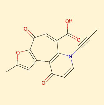 CC#Cn1ccc(=O)c2c3cc(C)oc3c(=O)cc(C(=O)O)c21